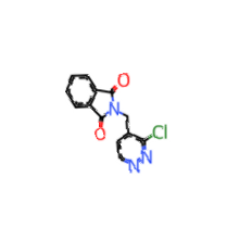 O=C1c2ccccc2C(=O)N1Cc1ccnnc1Cl